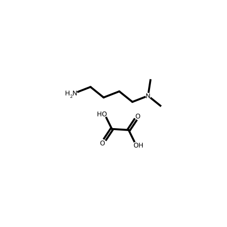 CN(C)CCCCN.O=C(O)C(=O)O